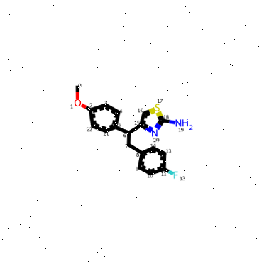 COc1ccc(C(Cc2ccc(F)cc2)c2csc(N)n2)cc1